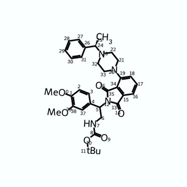 COc1ccc(C(CNC(=O)OC(C)(C)C)N2C(=O)c3cccc(N4CCN([C@H](C)c5ccccc5)CC4)c3C2=O)cc1OC